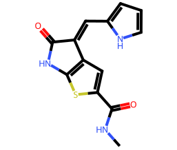 CNC(=O)c1cc2c(s1)NC(=O)/C2=C/c1ccc[nH]1